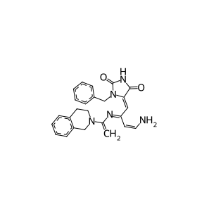 C=C(/N=C(\C=C/N)/C=C1/C(=O)NC(=O)N1Cc1ccccc1)N1CCc2ccccc2C1